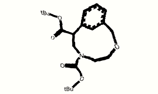 CC(C)(C)OC(=O)C1CN(C(=O)OC(C)(C)C)CCOCc2cccc1c2